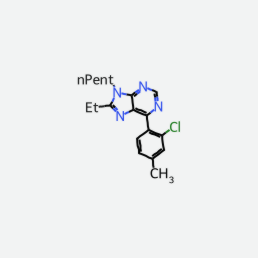 CCCCCn1c(CC)nc2c(-c3ccc(C)cc3Cl)ncnc21